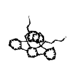 FCCCCC1(c2ccccc2)c2ccccc2-c2ccc3c(c21)C(CCCCF)(c1ccccc1)c1ccccc1-3